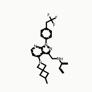 C=CC(=C)NCc1nn(-c2ccc(CC(F)(F)F)cc2)c2nccc(N3CC4(CC(C)C4)C3)c12